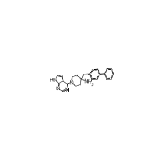 NC1(Cc2ccc(-c3ccccc3)cc2)CCN(C2N=CN=C3NC=CC32)CC1